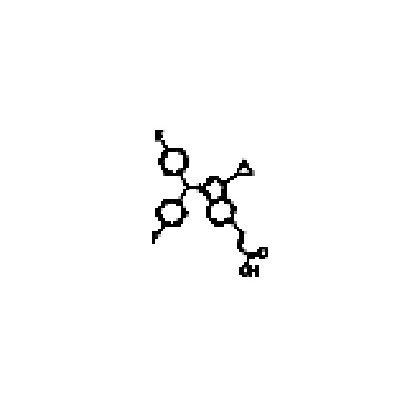 O=C(O)C=Cc1ccc2c(c1)c(C1CC1)cn2C(c1ccc(F)cc1)c1ccc(F)cc1